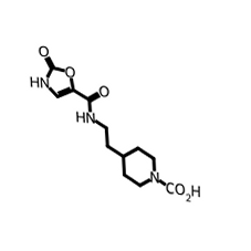 O=C(NCCC1CCN(C(=O)O)CC1)c1c[nH]c(=O)o1